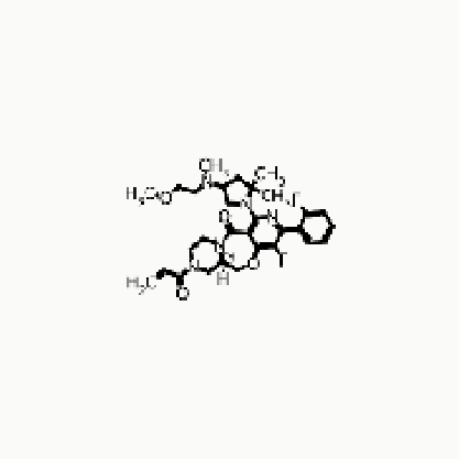 C=CC(=O)N1CCN2C(=O)c3c(N4CC(N(C)CCOC)CC4(C)C)nc(-c4ccccc4F)c(F)c3OC[C@H]2C1